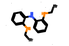 CC(C)CPc1ccccc1Nc1ccccc1PCC(C)C